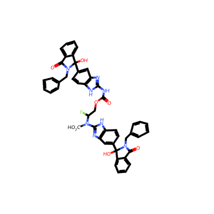 O=C(Nc1nc2cc(C3(O)c4ccccc4C(=O)N3Cc3ccccc3)ccc2[nH]1)OCC(F)N(C(=O)O)c1nc2cc(C3(O)c4ccccc4C(=O)N3Cc3ccccc3)ccc2[nH]1